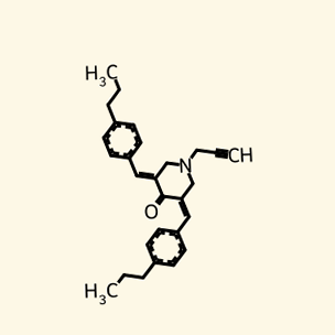 C#CCN1C/C(=C/c2ccc(CCC)cc2)C(=O)/C(=C/c2ccc(CCC)cc2)C1